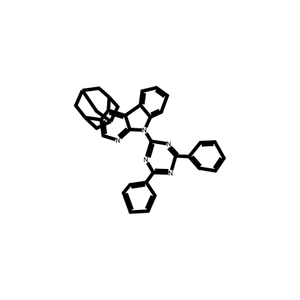 c1ccc(-c2nc(-c3ccccc3)nc(-n3c4ccccc4c4c5c(cnc43)C3CC4CC(C3)CC5C4)n2)cc1